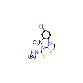 CC(C)(C)NC(=S)N=C1SCCN1c1ccc(Cl)cc1[N+](=O)[O-]